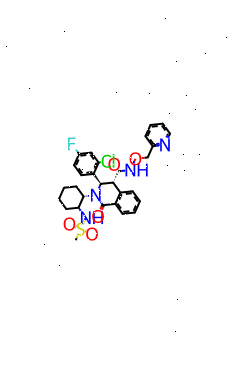 CS(=O)(=O)N[C@H]1CCCC[C@@H]1N1C(=O)c2ccccc2[C@@H](C(=O)NOCc2ccccn2)[C@@H]1c1ccc(F)cc1Cl